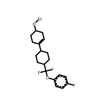 CCOC1CC=C(C2CCC(C(F)(F)Oc3ccc(F)cc3)CC2)CC1